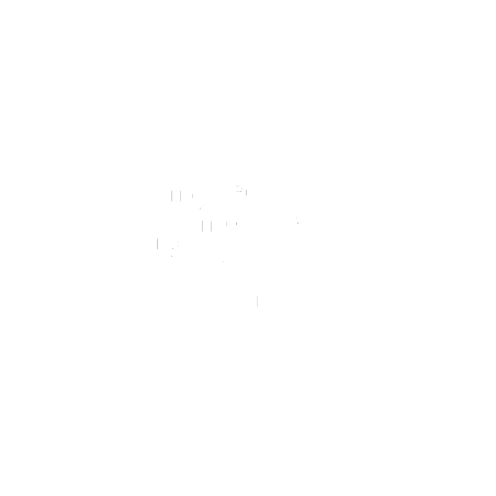 C=CC(=Cc1ccccc1C)O[Si](C)(C)C(C)(C)C